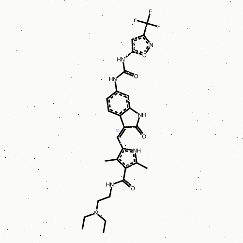 CCN(CC)CCNC(=O)c1c(C)[nH]c(/C=C2\C(=O)Nc3cc(NC(=O)Nc4cc(C(F)(F)F)no4)ccc32)c1C